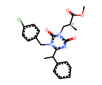 COC(=O)[C@@H](C)Cn1c(=O)nc(C(C)c2ccccc2)n(Cc2ccc(Cl)cc2)c1=O